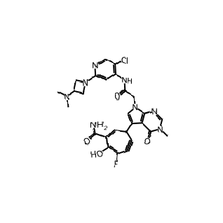 CN(C)C1CN(c2cc(NC(=O)Cn3cc(C4C#CC(F)=C(O)C(C(N)=O)=C4)c4c(=O)n(C)cnc43)c(Cl)cn2)C1